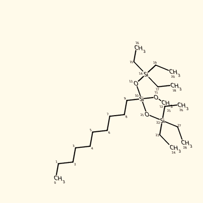 CCCCCCCCCC[Si](OC)(O[Si](CC)(CC)CC)O[Si](CC)(CC)CC